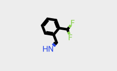 N=Cc1ccccc1C(F)F